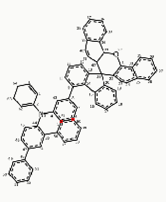 C1=CC(N(c2cccc(-c3cccc4c3-c3ccccc3C43c4ccc5ccccc5c4OC4c5ccccc5C=CC43)c2)c2ccc(-c3ccccc3)cc2-c2ccccc2)=CCC1